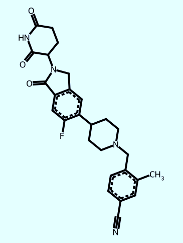 Cc1cc(C#N)ccc1CN1CCC(c2cc3c(cc2F)C(=O)N(C2CCC(=O)NC2=O)C3)CC1